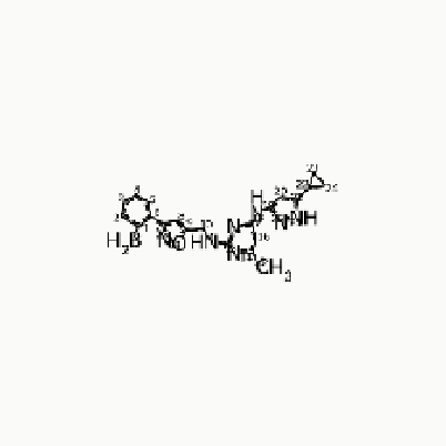 Bc1ccccc1-c1cc(CNc2nc(C)cc(Nc3cc(C4CC4)[nH]n3)n2)on1